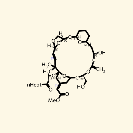 C=C1C[C@H](O)C[C@@H]2CCC[C@H](C[C@@H]3CO[C@H](/C=C/C(C)(C)C4(O)OC(C/C(=C\C(=O)OC)[C@@H]4OC(=O)CCCCCCC)C[C@H](CO)O1)O3)O2